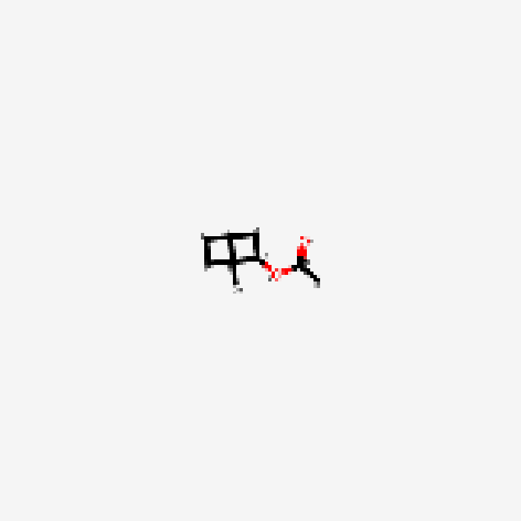 CC(=O)OC1CC2CCC21C